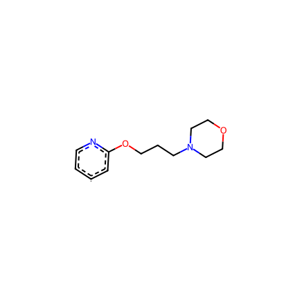 [c]1ccnc(OCCCN2CCOCC2)c1